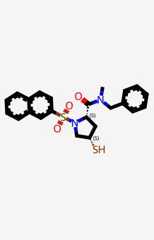 CN(Cc1ccccc1)C(=O)[C@@H]1C[C@H](S)CN1S(=O)(=O)c1ccc2ccccc2c1